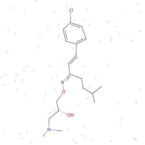 CC(C)CCC(/C=C/c1ccc(Cl)cc1)=N\OC[C@H](O)CN(C)C